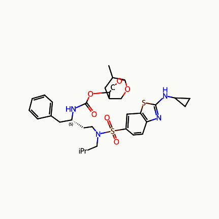 CC(C)CN(CC[C@H](Cc1ccccc1)NC(=O)OC1COC2OCC1CC2C)S(=O)(=O)c1ccc2nc(NC3CC3)sc2c1